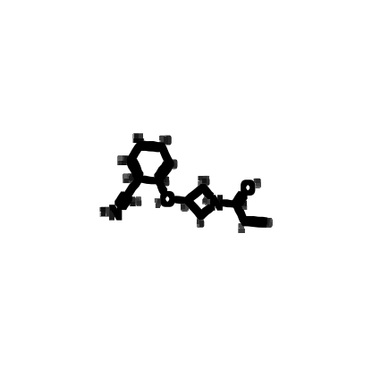 C=CC(=O)N1CC(Oc2ccccc2C#N)C1